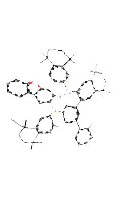 Cc1ccccc1-c1cc2c3c(c1)N(c1cc4c(cc1C)C(C)(C)CCC4(C)C)c1cc4c(cc1B3N(c1ccc3c(c1)C(C)(C)CCC3(C)C)c1cc3c(cc1-2)C(C)(C)CCC3(C)C)oc1ccccc14